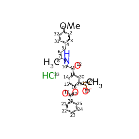 COc1ccc(CCC(C)NCC(=O)c2ccc(OC(=O)c3ccccc3)c([S+](C)[O-])c2)cc1.Cl